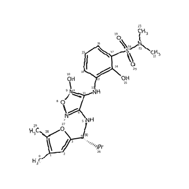 Cc1cc([C@H](Nc2no[n+](O)c2Nc2cccc(S(=O)(=O)N(C)C)c2O)C(C)C)oc1C